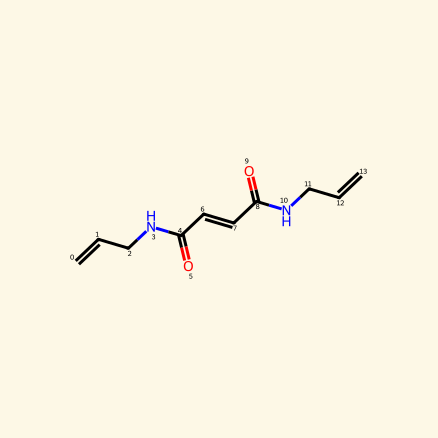 C=CCNC(=O)C=CC(=O)NCC=C